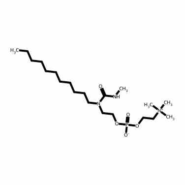 CCCCCCCCCCCN(CCOP(=O)([O-])OCC[N+](C)(C)C)C(=O)NC